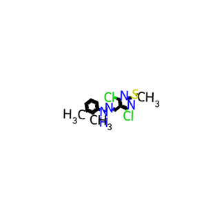 CSc1nc(Cl)c(/C=N/Nc2cccc(C)c2C)c(Cl)n1